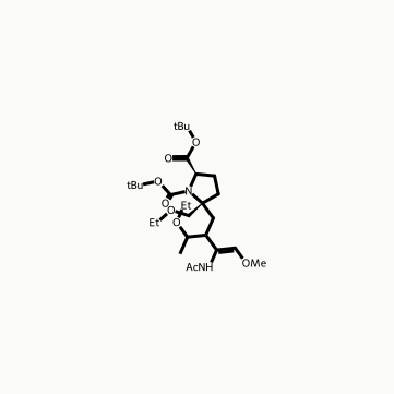 CCOC[C@]1(CC(C(=COC)NC(C)=O)C(C)OCC)CC[C@H](C(=O)OC(C)(C)C)N1C(=O)OC(C)(C)C